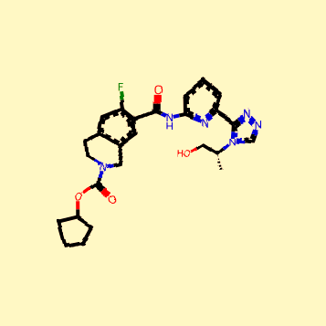 C[C@H](CO)n1cnnc1-c1cccc(NC(=O)c2cc3c(cc2F)CCN(C(=O)OC2CCCC2)C3)n1